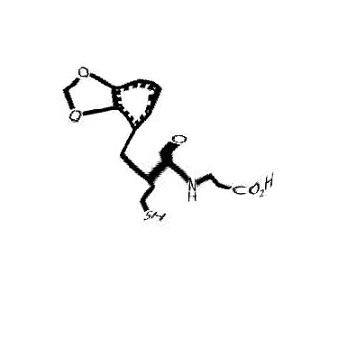 O=C(O)CNC(=O)C(CS)Cc1cccc2c1OCO2